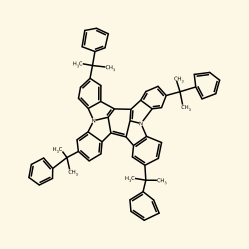 CC(C)(c1ccccc1)c1ccc2c(c1)c1c3c4ccc(C(C)(C)c5ccccc5)cc4n4c5ccc(C(C)(C)c6ccccc6)cc5c(c5c6ccc(C(C)(C)c7ccccc7)cc6n2c15)c34